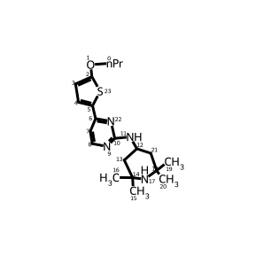 CCCOc1ccc(-c2ccnc(NC3CC(C)(C)NC(C)(C)C3)n2)s1